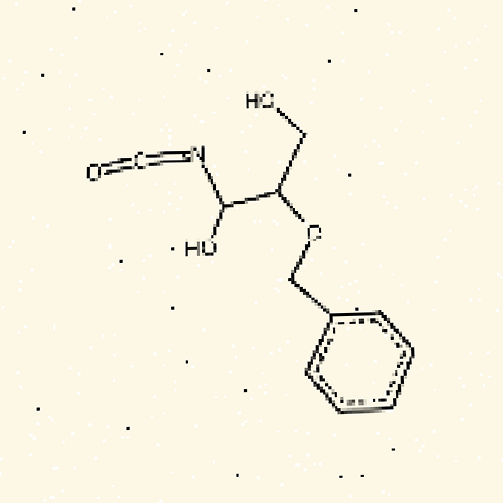 O=C=NC(O)C(CO)OCc1ccccc1